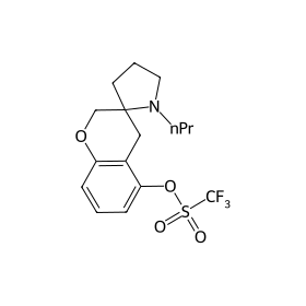 CCCN1CCCC12COc1cccc(OS(=O)(=O)C(F)(F)F)c1C2